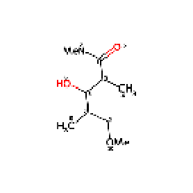 CNC(=O)C(C)C(O)C(C)COC